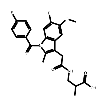 COc1cc2c(CC(=O)NCC(C)C(=O)O)c(C)n(C(=O)c3ccc(F)cc3)c2cc1F